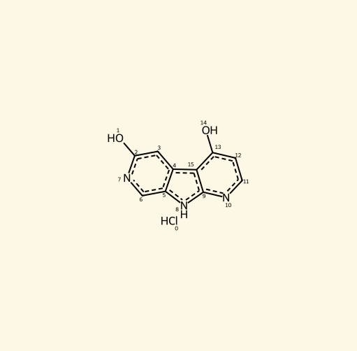 Cl.Oc1cc2c(cn1)[nH]c1nccc(O)c12